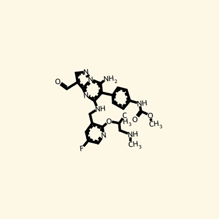 CNCC(C)Oc1ncc(F)cc1CNc1nc2c(C=O)cnn2c(N)c1-c1ccc(NC(=O)OC)cc1